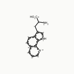 NC(Cc1c[nH]c2c1ccc1cccnc12)C(=O)O